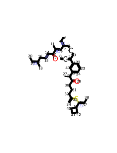 C=C=C(C=C=CC(=C\C)/C=C(\C)C(=O)/C=C/C/C(C)=C\C)c1cccc([C@H](C)C(=O)CCCC(=C)S/C(=C\C)C2CCC2)c1